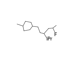 CC(F)CC(CCC1CCC(C)CC1)C(C)C